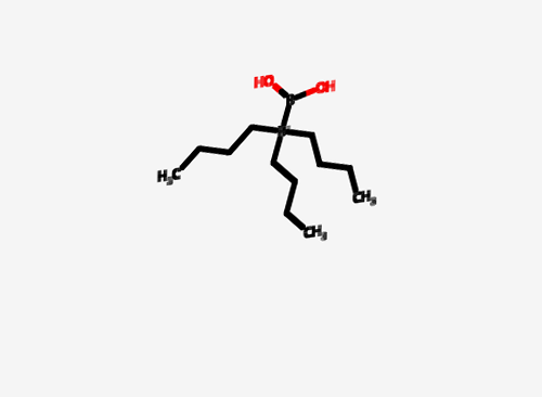 CCCC[B-](CCCC)(CCCC)B(O)O